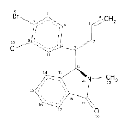 C=CC[C@@H](c1ccc(Br)c(Cl)c1)[C@@H]1c2ccccc2C(=O)N1C